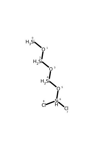 [SiH3]O[SiH2]O[SiH2]O[SiH](Cl)Cl